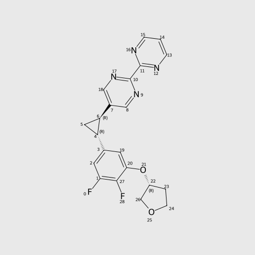 Fc1cc([C@@H]2C[C@H]2c2cnc(-c3ncccn3)nc2)cc(O[C@@H]2CCOC2)c1F